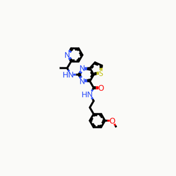 COc1cccc(CCNC(=O)c2nc(NC(C)c3ccccn3)nc3ccsc23)c1